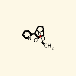 C=COC(=O)N1C2CCC=C(c3ccccn3)C1CC2